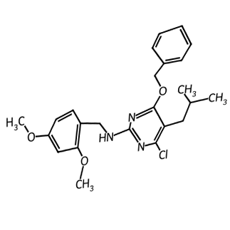 COc1ccc(CNc2nc(Cl)c(CC(C)C)c(OCc3ccccc3)n2)c(OC)c1